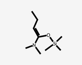 CCC=C(O[Si](C)(C)C)N(C)C